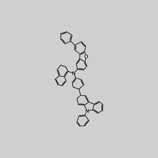 C1=CC(C2C=c3c(n(-c4ccccc4)c4ccccc34)=CC2)CC=C1N(C1=c2ccccc2=CCC1)c1ccc2oc3ccc(-c4ccccc4)cc3c2c1